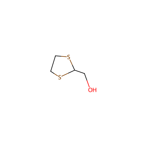 OCC1SCCS1